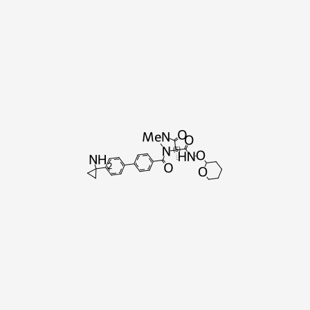 CNC(=O)[C@@](C)(C(=O)NOC1CCCCO1)N(C)C(=O)c1ccc(-c2ccc(C3(N)CC3)cc2)cc1